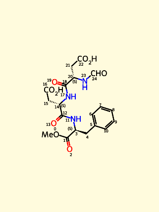 COC(=O)[C@H](Cc1ccccc1)NC(=O)[C@H](CC(=O)O)NC(=O)[C@H](CC(=O)O)NC=O